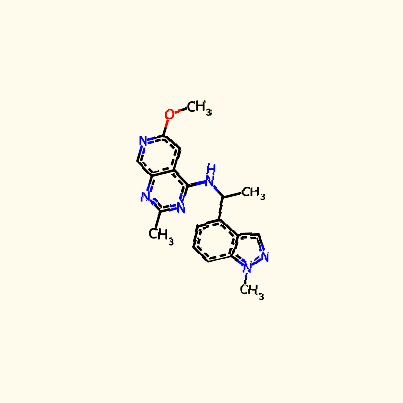 COc1cc2c(NC(C)c3cccc4c3cnn4C)nc(C)nc2cn1